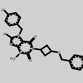 Cn1c(=O)n(C2CC(OCc3ccccc3)C2)c(=O)c2c1nc(Cl)n2Cc1ccc(Cl)cc1